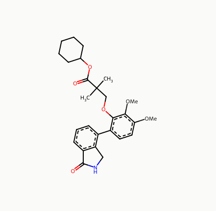 COc1ccc(-c2cccc3c2CNC3=O)c(OCC(C)(C)C(=O)OC2CCCCC2)c1OC